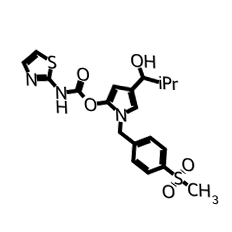 CC(C)C(O)c1cc(OC(=O)Nc2nccs2)n(Cc2ccc(S(C)(=O)=O)cc2)c1